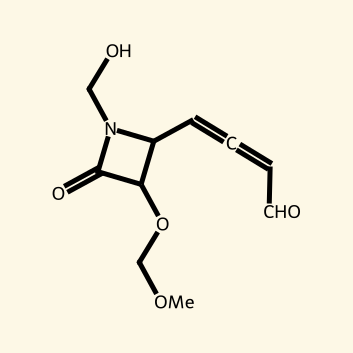 COCOC1C(=O)N(CO)C1C=C=CC=O